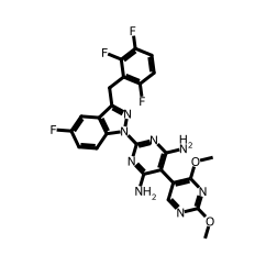 COc1ncc(-c2c(N)nc(-n3nc(Cc4c(F)ccc(F)c4F)c4cc(F)ccc43)nc2N)c(OC)n1